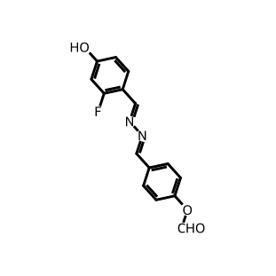 O=COc1ccc(/C=N/N=C/c2ccc(O)cc2F)cc1